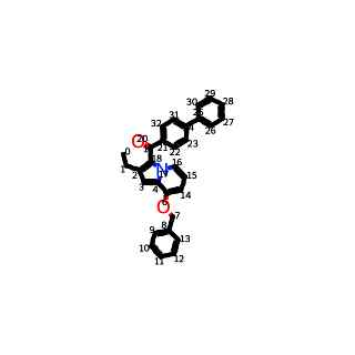 CCc1cc2c(OCc3ccccc3)cccn2c1C(=O)c1ccc(-c2ccccc2)cc1